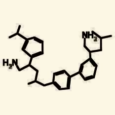 CC(C)CC(CN)c1cccc(-c2ccc(CC(C)CC(CN)c3cccc(C(C)C)c3)cc2)c1